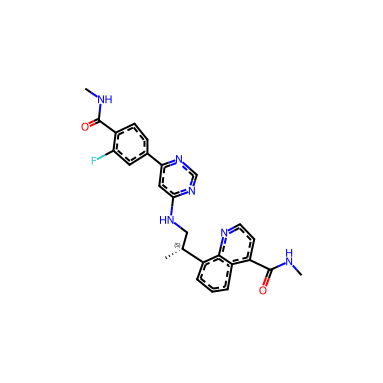 CNC(=O)c1ccc(-c2cc(NC[C@@H](C)c3cccc4c(C(=O)NC)ccnc34)ncn2)cc1F